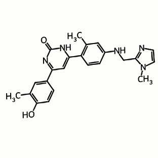 Cc1cc(-c2cc(-c3ccc(NCc4nccn4C)cc3C)[nH]c(=O)n2)ccc1O